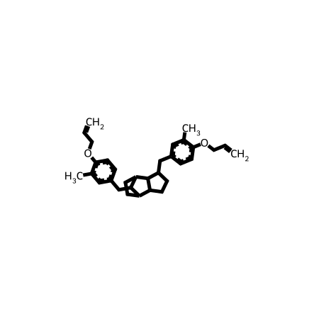 C=CCOc1ccc(CC2CCC3C4CCC(C4Cc4ccc(OCC=C)c(C)c4)C23)cc1C